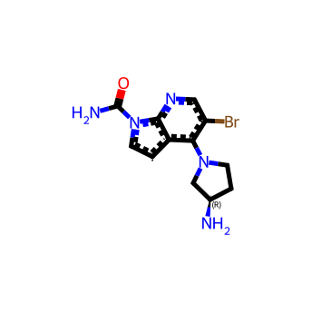 NC(=O)n1c[c]c2c(N3CC[C@@H](N)C3)c(Br)cnc21